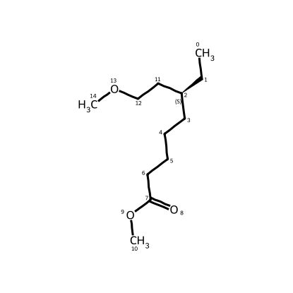 CC[C@@H](CCCCC(=O)OC)CCOC